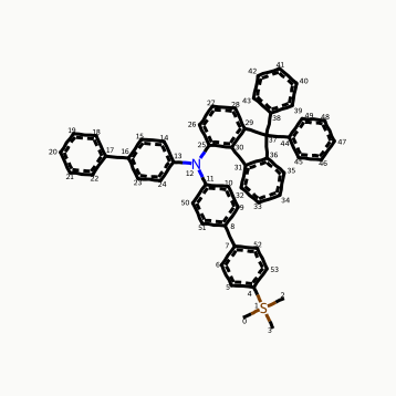 CS(C)(C)c1ccc(-c2ccc(N(c3ccc(-c4ccccc4)cc3)c3cccc4c3-c3ccccc3C4(c3ccccc3)c3ccccc3)cc2)cc1